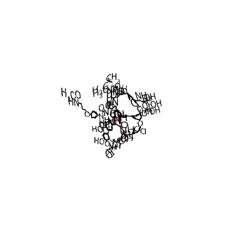 CN[C@H](CC(C)C)C(=O)N[C@H]1C(=O)N[C@@H](CC(=O)NC(=O)Nc2ccc(OCCCNC(C)=O)cc2)C(=O)N[C@H]2C(=O)N[C@H]3C(=O)N[C@H](C(=O)N[C@H](C(=O)NC4C5CC6CC(C5)CC4C6)c4cc(O)cc5c4-c4cc3ccc4C5(O)O)[C@H](O)c3ccc(c(Cl)c3)Oc3cc2cc2c3O[C@@H]3O[C@H](C(N)c4cc(ccc4O2)[C@H]1O)[C@@H](O)[C@H](O)[C@H]3O